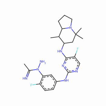 CC(=N)N(N)c1cc(Nc2ncc(F)c(NC3CC(C)(C)N4CCCC4C3C)n2)ccc1F